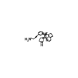 Cc1cccc2ccnc(N(C(=O)c3cccc(C#CCCN)c3)[C@@H]3CCCNC3)c12